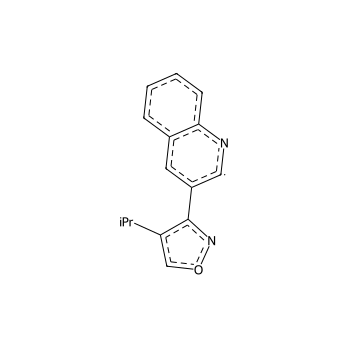 CC(C)c1conc1-c1[c]nc2ccccc2c1